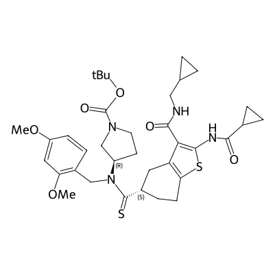 COc1ccc(CN(C(=S)[C@H]2CCc3sc(NC(=O)C4CC4)c(C(=O)NCC4CC4)c3C2)[C@@H]2CCN(C(=O)OC(C)(C)C)C2)c(OC)c1